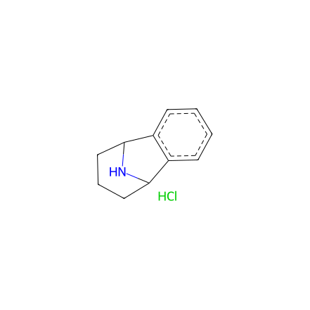 Cl.c1ccc2c(c1)C1CCCC2N1